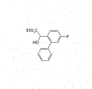 CCOC(=O)C(O)c1ccc(F)cc1-c1ccccc1